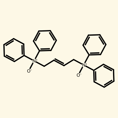 [O-][N+](CC=CC[N+]([O-])(c1ccccc1)c1ccccc1)(c1ccccc1)c1ccccc1